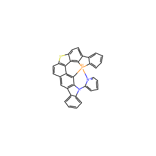 c1ccc2c(c1)-c1ccc3sc4ccc5cc6c7ccccc7n7c6c6c5c4c3c1[PH]26[n+]1ccccc1-7